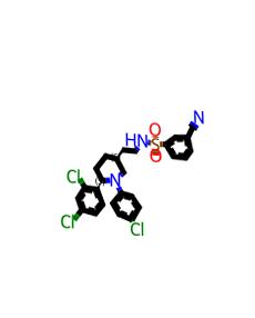 N#Cc1cccc(S(=O)(=O)NCC[C@@H]2CC[C@@H](c3ccc(Cl)cc3Cl)N(c3ccc(Cl)cc3)C2)c1